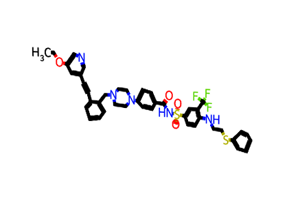 CCOc1cncc(C#Cc2ccccc2CN2CCN(c3ccc(C(=O)NS(=O)(=O)c4ccc(NCCSc5ccccc5)c(C(F)(F)F)c4)cc3)CC2)c1